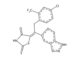 O=C1NC(=S)SC1=C(Cc1ccc(Cl)cc1C(F)(F)F)c1ccc2[nH]ncc2c1